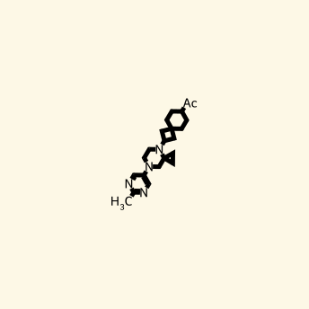 CC(=O)C1CCC2(CC1)CC(N1CCN(c3cnc(C)nc3)CC13CC3)C2